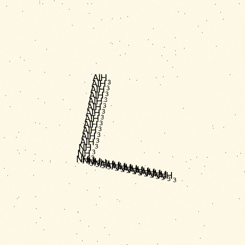 N.N.N.N.N.N.[AlH3].[AlH3].[AlH3].[AlH3].[AlH3].[AlH3].[AlH3].[AlH3].[AlH3].[AlH3].[AlH3].[AlH3].[AlH3].[AlH3].[AlH3].[AlH3].[AlH3].[AlH3].[AlH3].[AlH3].[AlH3].[AlH3].[AlH3]